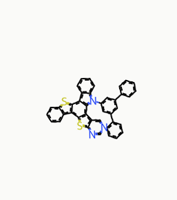 c1ccc(-c2cc(-c3ccccc3)cc(-n3c4ccccc4c4c5sc6ccccc6c5c5sc6ncncc6c5c43)c2)cc1